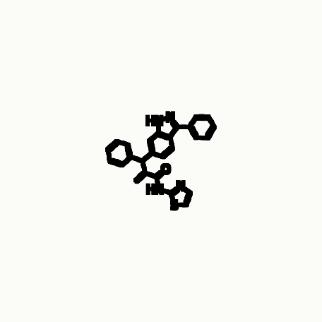 C=C(C(=O)Nc1nccs1)C(c1ccccc1)c1ccc2c(-c3ccccc3)n[nH]c2c1